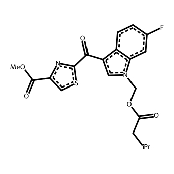 COC(=O)c1csc(C(=O)c2cn(COC(=O)CC(C)C)c3cc(F)ccc23)n1